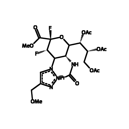 COCc1cn(C2[C@@H](NC(=O)C(C)C)C([C@H](OC(C)=O)[C@@H](COC(C)=O)OC(C)=O)O[C@@](F)(C(=O)OC)[C@H]2F)nn1